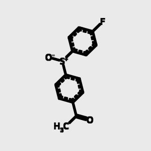 CC(=O)c1ccc([S+]([O-])c2ccc(F)cc2)cc1